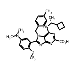 Cc1ccc(Cn2c(-c3cc(N(C)C)ccc3OC(F)(F)F)nc3nc(C(=O)O)nc(N[C@H](C)C4CCC4)c32)cc1